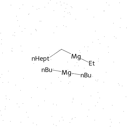 CCCCCCC[CH2][Mg][CH2]C.CCC[CH2][Mg][CH2]CCC